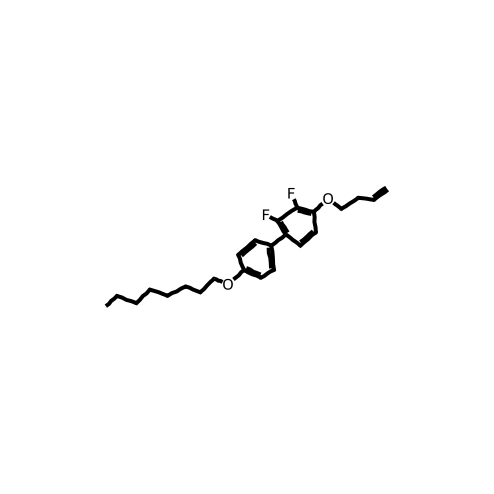 C=CCCOc1ccc(-c2ccc(OCCCCCCCC)cc2)c(F)c1F